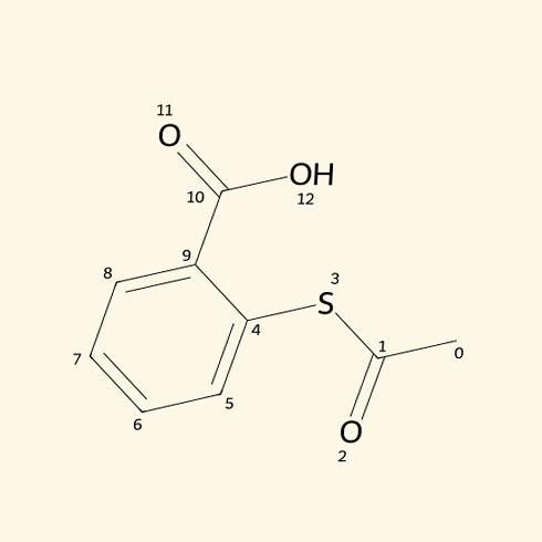 CC(=O)Sc1ccccc1C(=O)O